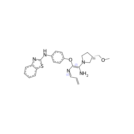 C=C/C=N\C(Oc1ccc(Nc2nc3ccccc3s2)cc1)=C(/N)N1CC[C@H](COC)C1